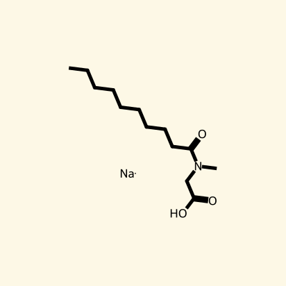 CCCCCCCCCC(=O)N(C)CC(=O)O.[Na]